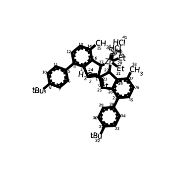 CCC1=Cc2c(-c3ccc(C(C)(C)C)cc3)ccc(C)c2[CH]1[Zr](=[SiH2])([CH2]C)([CH2]C)[CH]1C(C)=Cc2c(-c3ccc(C(C)(C)C)cc3)ccc(C)c21.Cl.Cl